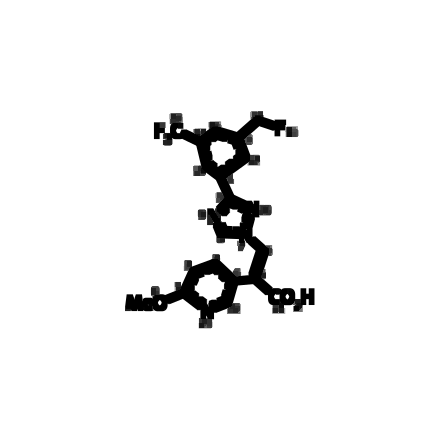 COc1ccc(/C(=C\n2cnc(-c3cc(CF)cc(C(F)(F)F)c3)n2)C(=O)O)cn1